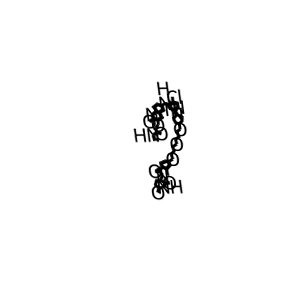 CNC(=O)COc1cc2cc(Nc3nc(N4CCC(OCCCOCCCOc5ccc6c(c5)CN(C5CCC(=O)NC5=O)C6=O)CC4)ncc3Cl)ccc2n(C)c1=O